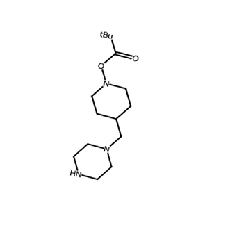 CC(C)(C)C(=O)ON1CCC(CN2CCNCC2)CC1